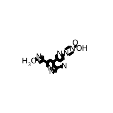 Cn1cc(-c2cc(-c3ccc(N4CCN(C(=O)O)CC4)nc3)c3c(C#N)cnn3c2)cn1